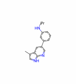 Cc1c[nH]c2ncc(-c3cccc(NC(C)C)c3)cc12